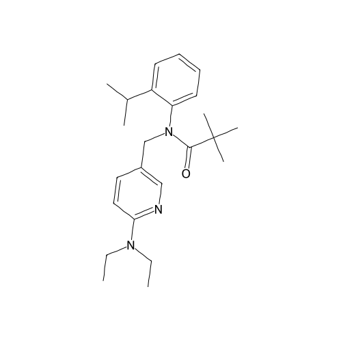 CCN(CC)c1ccc(CN(C(=O)C(C)(C)C)c2ccccc2C(C)C)cn1